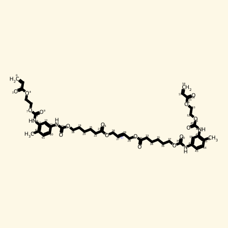 C=CC(=O)OCCOC(=O)Nc1cc(NC(=O)OCCCCCC(=O)OC/C=C/COC(=O)CCCCCOC(=O)Nc2ccc(C)c(NC(=O)OCCOC(=O)C=C)c2)ccc1C